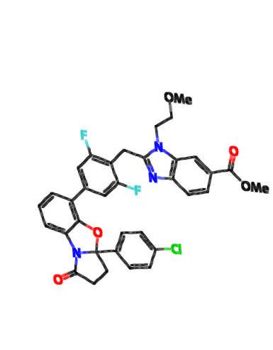 COCCn1c(Cc2c(F)cc(-c3cccc4c3OC3(c5ccc(Cl)cc5)CCC(=O)N43)cc2F)nc2ccc(C(=O)OC)cc21